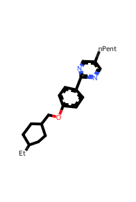 CCCCCc1cnc(-c2ccc(OCC3CCC(CC)CC3)cc2)nc1